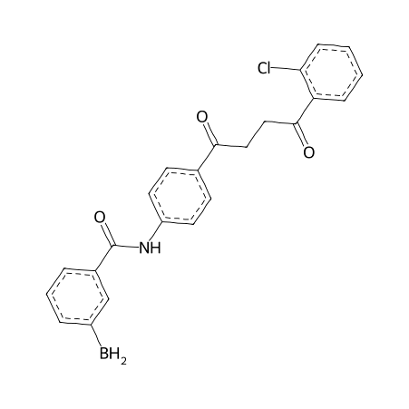 Bc1cccc(C(=O)Nc2ccc(C(=O)CCC(=O)c3ccccc3Cl)cc2)c1